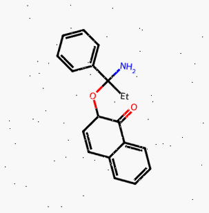 CCC(N)(OC1C=Cc2ccccc2C1=O)c1ccccc1